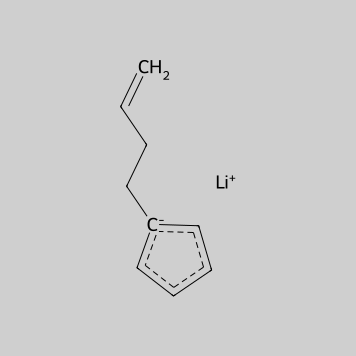 C=CCC[c-]1cccc1.[Li+]